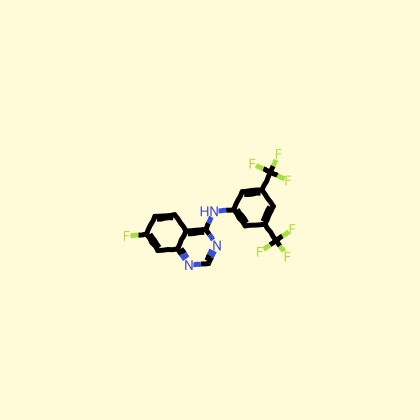 Fc1ccc2c(Nc3cc(C(F)(F)F)cc(C(F)(F)F)c3)ncnc2c1